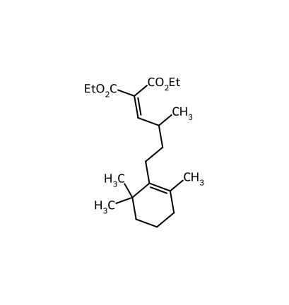 CCOC(=O)C(=CC(C)CCC1=C(C)CCCC1(C)C)C(=O)OCC